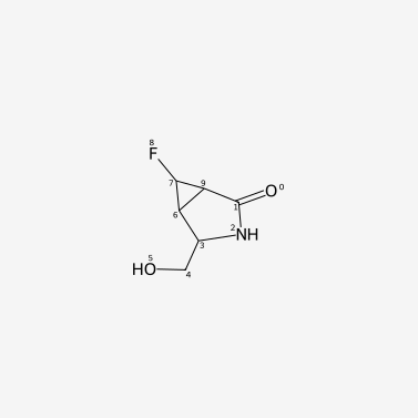 O=C1NC(CO)C2C(F)C12